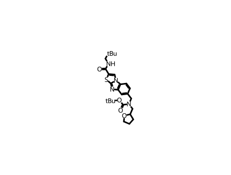 CC(C)(C)CNC(=O)c1cn2c(nc3cc(CN(CC4CCCO4)C(=O)OC(C)(C)C)ccc32)s1